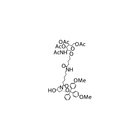 COc1ccc(C(OC[C@@H]2C[C@@H](O)CN2C(=O)CCCCCNC(=O)CCCCOC2OC(COC(C)=O)C(OC(C)=O)C(OC(C)=O)C2NC(C)=O)(c2ccccc2)c2ccc(OC)cc2)cc1